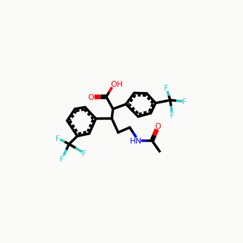 CC(=O)NCCC(c1cccc(C(F)(F)F)c1)C(C(=O)O)c1ccc(C(F)(F)F)cc1